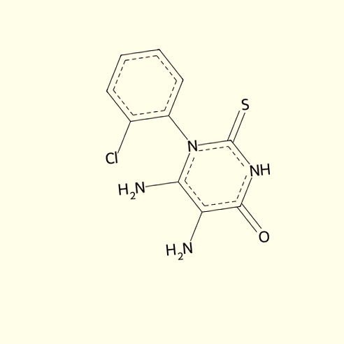 Nc1c(N)n(-c2ccccc2Cl)c(=S)[nH]c1=O